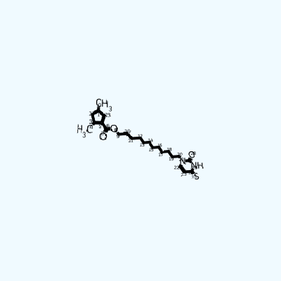 CC1CC(C)C(C(=O)OCCCCCCCCCCCCn2ccc(=S)[nH]c2=O)C1